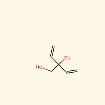 C=CC(O)(C=C)CO